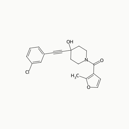 Cc1occc1C(=O)N1CCC(O)(C#Cc2cccc(Cl)c2)CC1